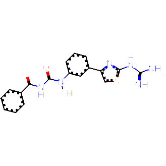 N=C(N)Nc1nc(-c2cccc(N(S)C(=O)NC(=O)c3ccccc3)c2)cs1